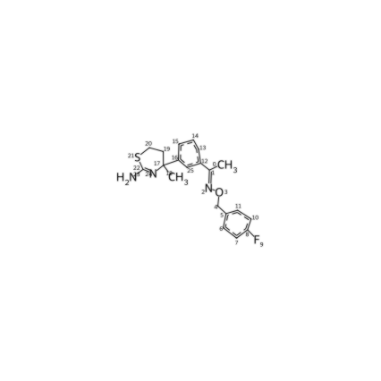 C/C(=N\OCc1ccc(F)cc1)c1cccc(C2(C)CCSC(N)=N2)c1